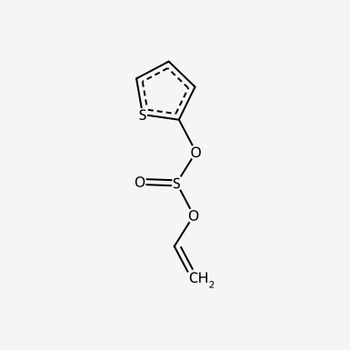 C=COS(=O)Oc1cccs1